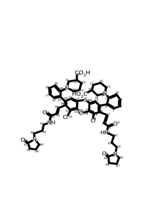 O=C(/C=C/c1c(-c2ccccc2N2CCCC(C(=O)O)C2)cc(Sc2cc(-c3ccccc3N3CCCC(C(=O)O)C3)c(/C=C/C(=O)NCCCN3CCCC3=O)c(Cl)c2Cl)c(Cl)c1Cl)NCCCN1CCCC1=O